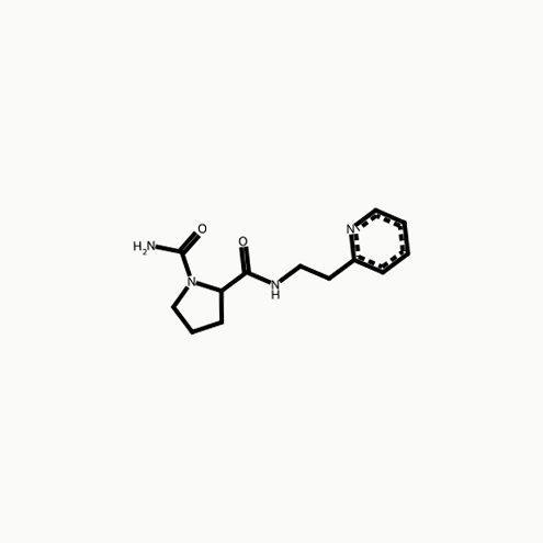 NC(=O)N1CCCC1C(=O)NCCc1ccccn1